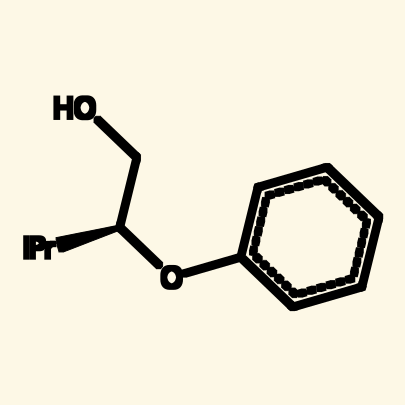 CC(C)[C@@H](CO)Oc1ccccc1